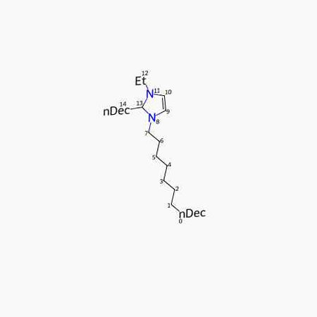 CCCCCCCCCCCCCCCCCN1C=CN(CC)C1CCCCCCCCCC